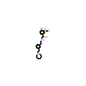 O=c1[nH]c2c(O)ccc(C(O)CNCCc3cccc(CCN4CCCCCC4)c3)c2s1